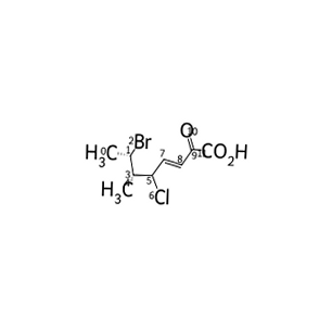 C[C@H](Br)[C@@H](C)C(Cl)/C=C/C(=O)C(=O)O